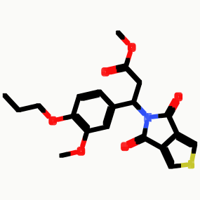 CCCOc1ccc(C(CC(=O)OC)N2C(=O)c3cscc3C2=O)cc1OC